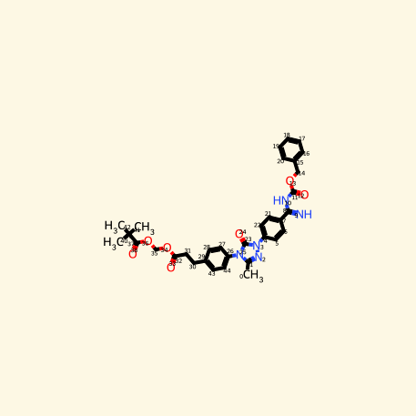 Cc1nn(-c2ccc(C(=N)NC(=O)OCc3ccccc3)cc2)c(=O)n1-c1ccc(CCC(=O)OCOC(=O)C(C)(C)C)cc1